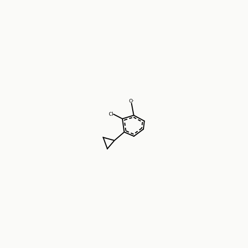 [O]c1cccc(C2CC2)c1Cl